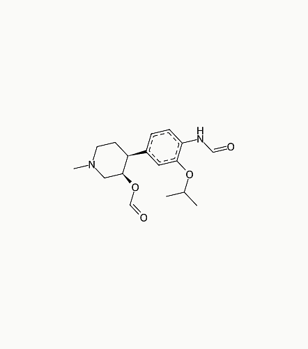 CC(C)Oc1cc([C@@H]2CCN(C)C[C@@H]2OC=O)ccc1NC=O